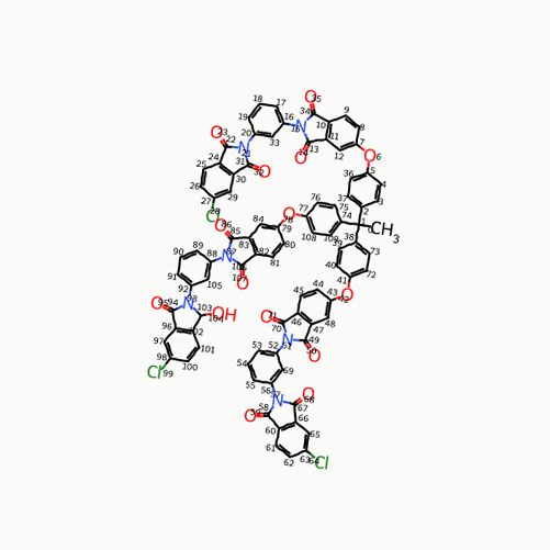 CC(c1ccc(Oc2ccc3c(c2)C(=O)N(c2cccc(N4C(=O)c5ccc(Cl)cc5C4=O)c2)C3=O)cc1)(c1ccc(Oc2ccc3c(c2)C(=O)N(c2cccc(N4C(=O)c5ccc(Cl)cc5C4=O)c2)C3=O)cc1)c1ccc(Oc2ccc3c(c2)C(=O)N(c2cccc(N4C(=O)c5cc(Cl)ccc5C4O)c2)C3=O)cc1